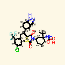 CC(C)(C)C1(NC(=O)O)CCCC(N2C(=O)SC(=C(Cc3ccc(Cl)cc3C(F)(F)F)c3ccc4[nH]ncc4c3)C2=O)C1